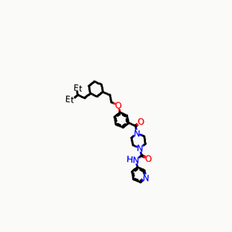 CCC(CC)CC1CCCC(CCOc2cccc(C(=O)N3CCN(C(=O)Nc4cccnc4)CC3)c2)C1